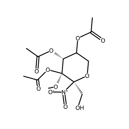 CO[C@]1(OC(C)=O)[C@H](OC(C)=O)[C](OC(C)=O)CO[C@@]1(CO)[N+](=O)[O-]